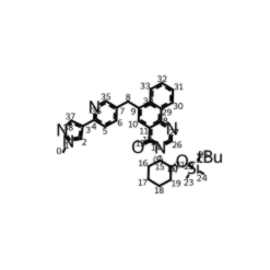 Cn1cc(-c2ccc(Cc3cc4c(=O)n([C@H]5CCCC[C@@H]5O[Si](C)(C)C(C)(C)C)cnc4c4ccccc34)cn2)cn1